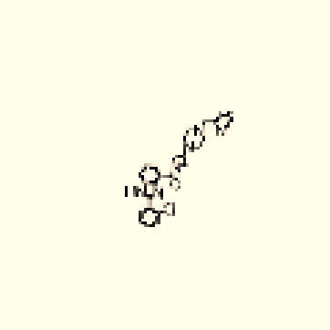 O=C(c1cccc2[nH]c(-c3ccccc3Cl)nc12)N1CC(N2CCN(Cc3cscn3)CC2)C1